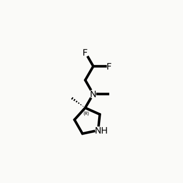 CN(CC(F)F)[C@]1(C)CCNC1